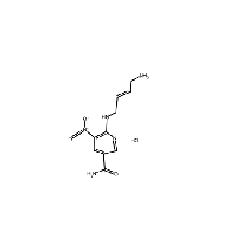 Cl.NC/C=C/CNc1ncc(C(N)=O)cc1[N+](=O)[O-]